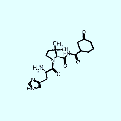 CC1(C)CCN(C(=O)[C@@H](N)Cc2c[nH]cn2)[C@@H]1C(=O)NC(=O)C1CCCC(=O)C1